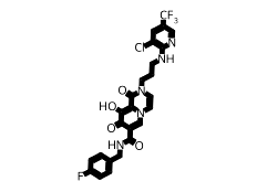 O=C(NCc1ccc(F)cc1)c1cn2ccn(CCCNc3ncc(C(F)(F)F)cc3Cl)c(=O)c2c(O)c1=O